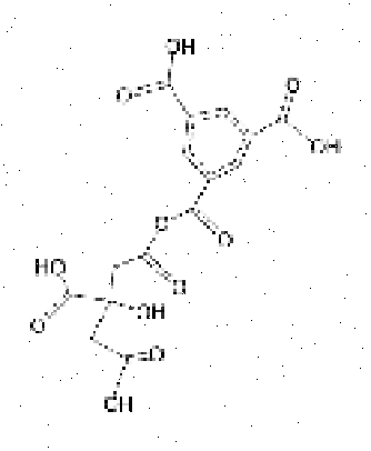 O=C(O)CC(O)(CC(=O)OC(=O)c1cc(C(=O)O)cc(C(=O)O)c1)C(=O)O